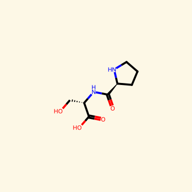 O=C(O)[C@H](CO)NC(=O)[C@@H]1CCCN1